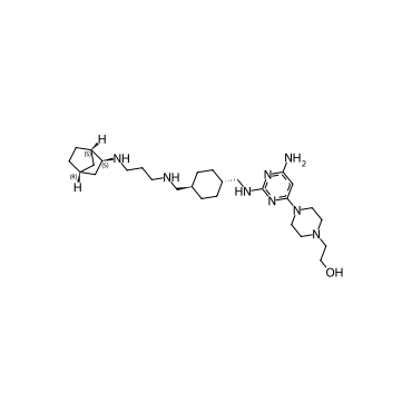 Nc1cc(N2CCN(CCO)CC2)nc(NC[C@H]2CC[C@H](CNCCCN[C@H]3C[C@@H]4CC[C@H]3C4)CC2)n1